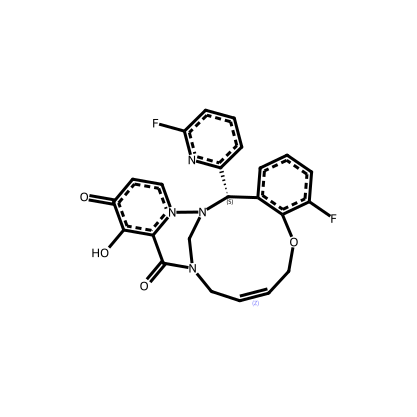 O=C1c2c(O)c(=O)ccn2N2CN1C/C=C\COc1c(F)cccc1[C@H]2c1cccc(F)n1